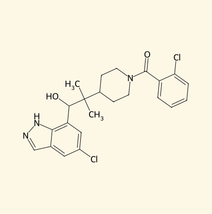 CC(C)(C1CCN(C(=O)c2ccccc2Cl)CC1)C(O)c1cc(Cl)cc2cn[nH]c12